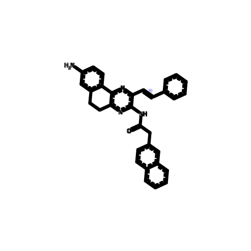 Nc1ccc2c(c1)CCc1nc(NC(=O)Cc3ccc4ccccc4c3)c(/C=C/c3ccccc3)nc1-2